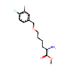 COC(=O)[C@H](N)CCCCOCc1ccc(F)c(C)c1